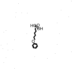 O=P(O)(O)CCCCCCOc1ccccc1